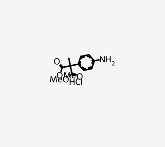 COC(=O)C(C)(C(=O)OC)c1ccc(N)cc1.Cl